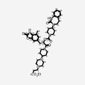 CCOC(=O)CCN1CCN(C2CCN(C(=O)[C@@H](Cc3cc(C)c4[nH]c(=O)oc4c3)OC(=O)N3CCC(N4CCc5ccccc5NC4=O)CC3)CC2)CC1